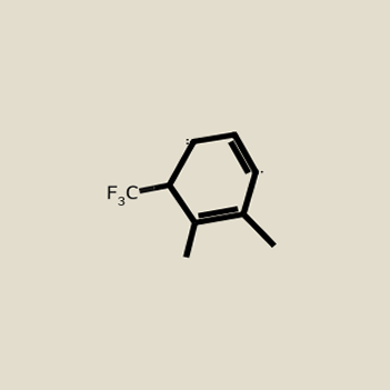 CC1=C(C)C(C(F)(F)F)[C]C=[C]1